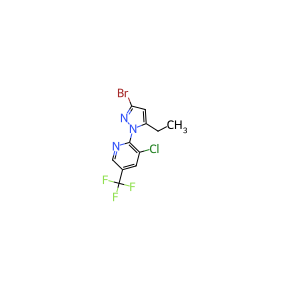 CCc1cc(Br)nn1-c1ncc(C(F)(F)F)cc1Cl